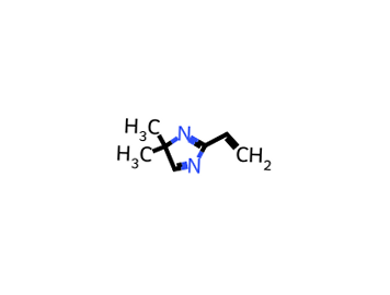 C=CC1=NC(C)(C)C=N1